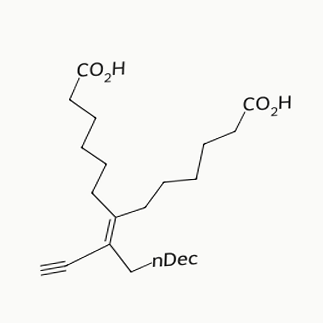 C#CC(CCCCCCCCCCC)=C(CCCCCC(=O)O)CCCCCC(=O)O